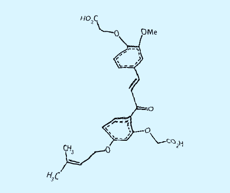 COc1cc(/C=C/C(=O)c2ccc(OCC=C(C)C)cc2OCC(=O)O)ccc1OCC(=O)O